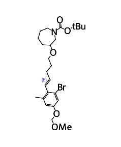 COCOc1cc(C)c(/C=C/CCCOC2CCCCN(C(=O)OC(C)(C)C)C2)c(Br)c1